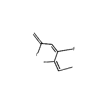 C=C(I)/C=C(F)\C(C)=C/C